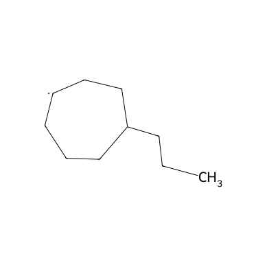 CCCC1CC[CH]CCC1